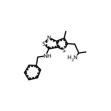 Cc1c(CC(C)N)sc2c(NCc3ccccc3)snc12